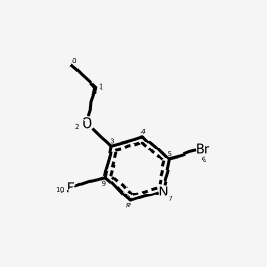 CCOc1cc(Br)ncc1F